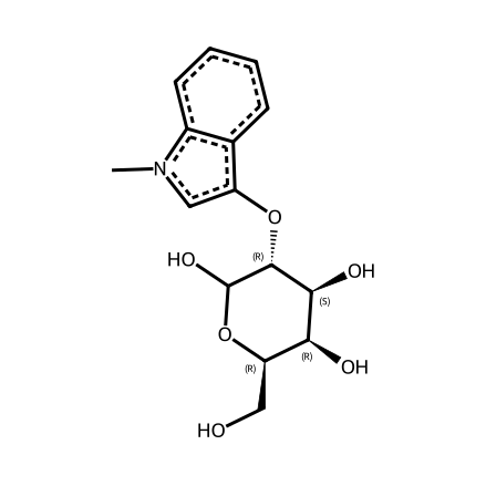 Cn1cc(O[C@H]2C(O)O[C@H](CO)[C@H](O)[C@@H]2O)c2ccccc21